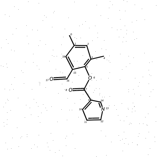 Cc1cc(C)c(OC(=O)c2cccnc2)c(C=O)c1